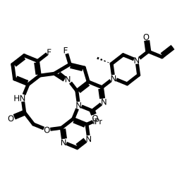 C=CC(=O)N1CCN(c2nc(=O)n3c4nc(c(F)cc24)-c2c(F)cccc2NC(=O)COc2ncnc(C(C)C)c2-3)[C@H](C)C1